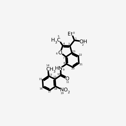 CCC(O)c1c(C)oc2c(NC(=O)c3c(C)cccc3[N+](=O)[O-])cccc12